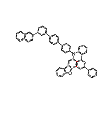 c1ccc(-c2cccc(-c3ccccc3N(c3ccc(-c4ccc(-c5cccc(-c6ccc7ccccc7c6)c5)cc4)cc3)c3ccc4oc5ccccc5c4c3)c2)cc1